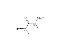 CC(C)[C@H](C)C(=O)[C@@H](C)C(=O)O